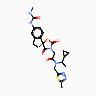 CNC(=O)Nc1ccc2c(c1)CC[C@@]21OC(=O)N(CC(=O)N(Cc2nnc(C)s2)C(C)C2CC2)C1=O